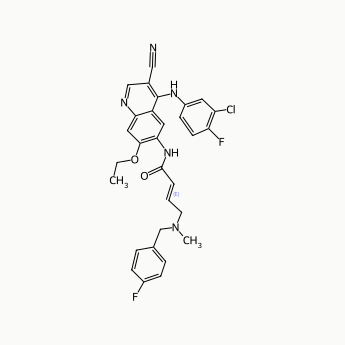 CCOc1cc2ncc(C#N)c(Nc3ccc(F)c(Cl)c3)c2cc1NC(=O)/C=C/CN(C)Cc1ccc(F)cc1